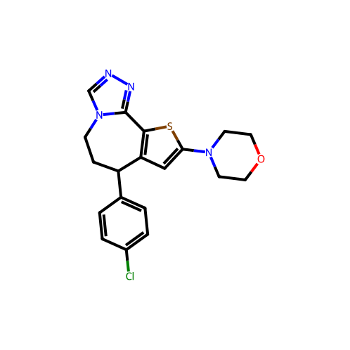 Clc1ccc(C2CCn3cnnc3-c3sc(N4CCOCC4)cc32)cc1